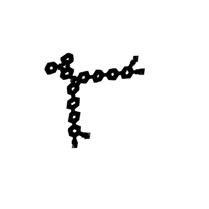 N#Cc1ccc(-c2ccc(-c3ccc(-c4ccc5c(c4)c4cc(-c6ccc(-c7ccc(-c8ccc(C#N)c(C#N)c8)cc7)cc6)ccc4n5-c4ccc5c(c4)c4ccccc4n5-c4ccccc4)cc3)cc2)cc1C#N